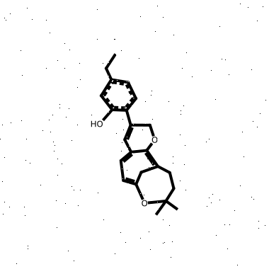 CCc1ccc(C2=CC3=CC=C4CC(=C3OC2)CCC(C)(C)O4)c(O)c1